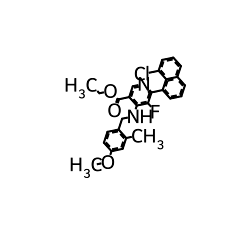 CCOC(=O)c1cnc(-c2cccc3cccc(Cl)c23)c(F)c1NCc1ccc(OC)cc1C